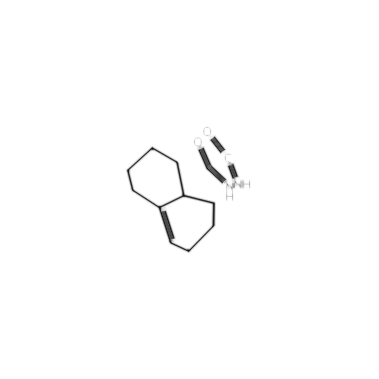 C1=C2CCCCC2CCC1.N=C=O.N=C=O